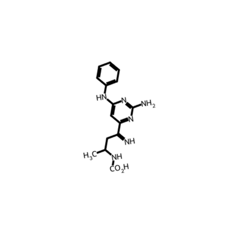 CC(CC(=N)c1cc(Nc2ccccc2)nc(N)n1)NC(=O)O